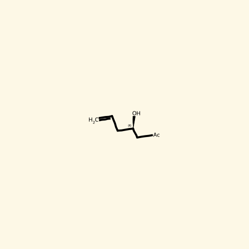 C=CC[C@@H](O)CC(C)=O